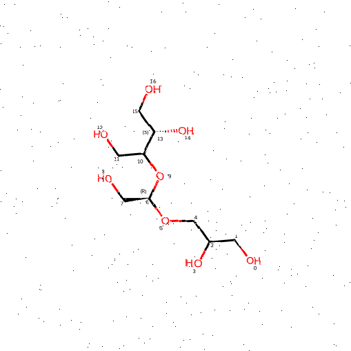 OCC(O)CO[C@@H](CO)OC(CO)[C@@H](O)CO